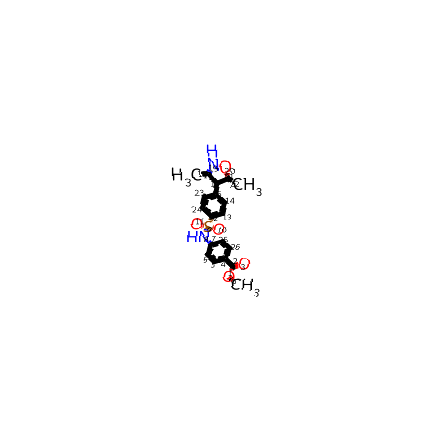 COC(=O)c1ccc(NS(=O)(=O)c2ccc(C3C(C)NOC3C)cc2)cc1